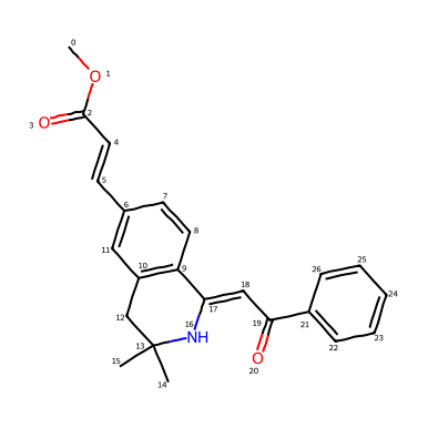 COC(=O)C=Cc1ccc2c(c1)CC(C)(C)NC2=CC(=O)c1ccccc1